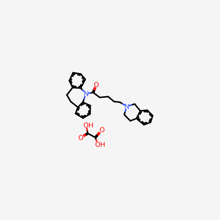 O=C(CCCCN1CCc2ccccc2C1)N1c2ccccc2CCc2ccccc21.O=C(O)C(=O)O